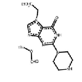 CC(C)(C)OC=O.CCOC(=O)Cn1cnc2nc(N3CCNCC3)[nH]c(=O)c21